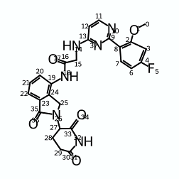 COc1cc(F)ccc1-c1nccc(NCC(=O)Nc2cccc3c2CN(C2CCC(=O)NC2=O)C3=O)n1